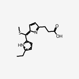 CCc1ccc(C(SC)=C2C=CC(CCC(=O)O)=N2)[nH]1